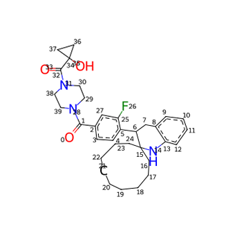 O=C(c1ccc(C2Cc3ccccc3NC23CCCCCCCCC3)c(F)c1)N1CCN(C(=O)C2(O)CC2)CC1